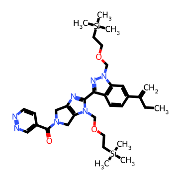 C=C(CC)c1ccc2c(-c3nc4c(n3COCC[Si](C)(C)C)CN(C(=O)c3ccnnc3)C4)nn(COCC[Si](C)(C)C)c2c1